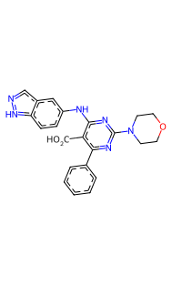 O=C(O)c1c(Nc2ccc3[nH]ncc3c2)nc(N2CCOCC2)nc1-c1ccccc1